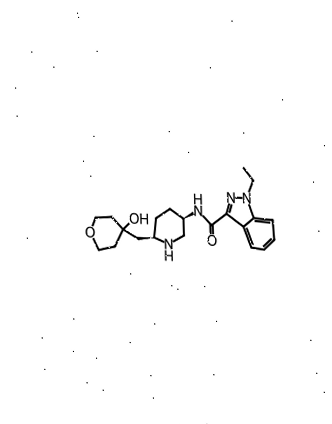 CCn1nc(C(=O)N[C@@H]2CC[C@H](CC3(O)CCOCC3)NC2)c2ccccc21